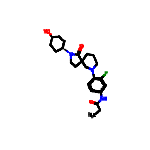 CCC(=O)Nc1ccc(N2CCCC3(CCN([C@H]4CC[C@H](O)CC4)C3=O)C2)c(F)c1